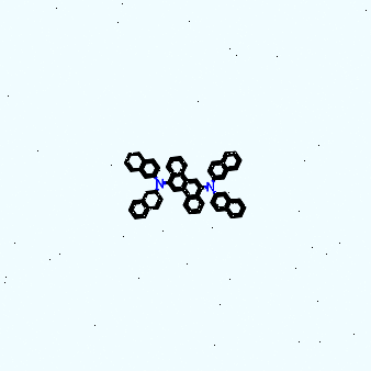 C1=Cc2cc(N(c3cc4c5ccccc5c(N(c5ccc6ccccc6c5)c5ccc6ccccc6c5)cc4c4ccccc34)C3C=Cc4ccccc4C3)ccc2CC1